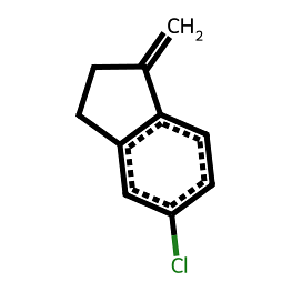 C=C1CCc2cc(Cl)ccc21